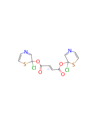 O=C(/C=C/C(=O)OC1(Cl)C=NC=CS1)OC1(Cl)C=NC=CS1